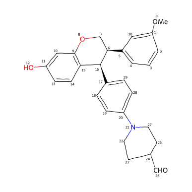 COc1cccc([C@@H]2COc3cc(O)ccc3[C@@H]2c2ccc(N3CCC(C=O)CC3)cc2)c1